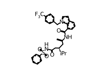 C=C(C[C@H](CC(=O)NS(=O)(=O)c1ccccc1)C(C)C)NC(=O)c1cccc2ccn(Cc3ccc(C(F)(F)F)cc3)c12